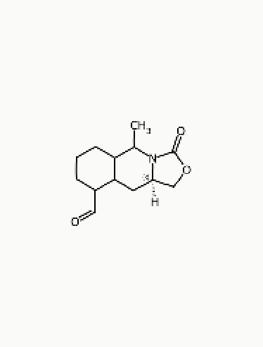 CC1C2CCCC(C=O)C2C[C@@H]2COC(=O)N12